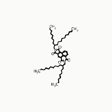 CCCCCCCCCCC(CCCCCCCC)CN1C(=O)c2cc3c4c([c]c[c]c4c2C1=O)C(=O)N(CC(CCCCCCCC)CCCCCCCCCC)C3=O